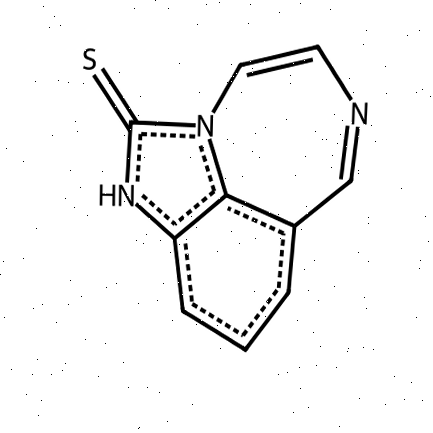 S=c1[nH]c2cccc3c2n1C=CN=C3